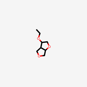 CCOC1COC2COCC21